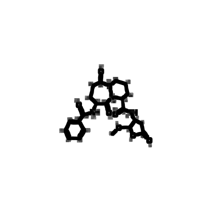 COC1OC(=O)C[C@@H]1NC(=O)[C@@H]1CCCN2C(=O)CC[C@H](NC(=O)c3ccccc3)C(=O)N12